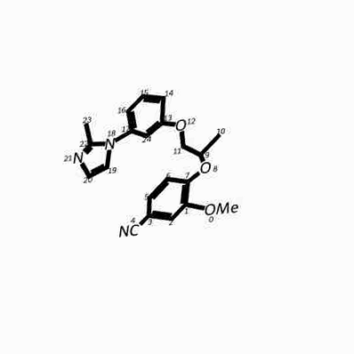 COc1cc(C#N)ccc1OC(C)COc1cccc(-n2ccnc2C)c1